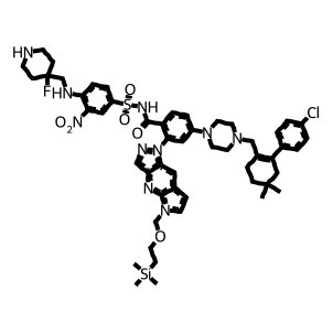 CC1(C)CCC(CN2CCN(c3ccc(C(=O)NS(=O)(=O)c4ccc(NCC5(F)CCNCC5)c([N+](=O)[O-])c4)c(-n4ncc5nc6c(ccn6COCC[Si](C)(C)C)cc54)c3)CC2)=C(c2ccc(Cl)cc2)C1